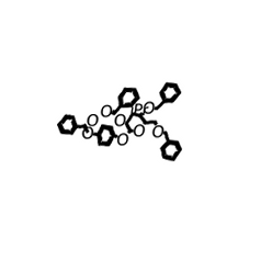 CC(C)C1C(OCc2ccccc2)C(COCc2ccccc2)OC(Oc2ccc(OC(=O)c3ccccc3)cc2)C1OC(=O)c1ccccc1